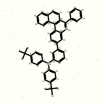 CC(C)(C)c1ccc(B(c2ccc(C(C)(C)C)cc2)c2cccc(-c3ccc4c(c3)nc(-c3ccccc3)c3ccc5ccccc5c34)c2)cc1